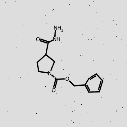 NNC(=O)C1CCN(C(=O)OCc2ccccc2)C1